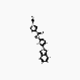 N#CN1CC[C@H](C(=O)Nc2ncc(-n3cc4ccccc4c3)s2)C1